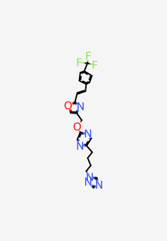 FC(F)(F)c1ccc(/C=C/c2nc(COc3cnc(CCCCn4cncn4)cn3)co2)cc1